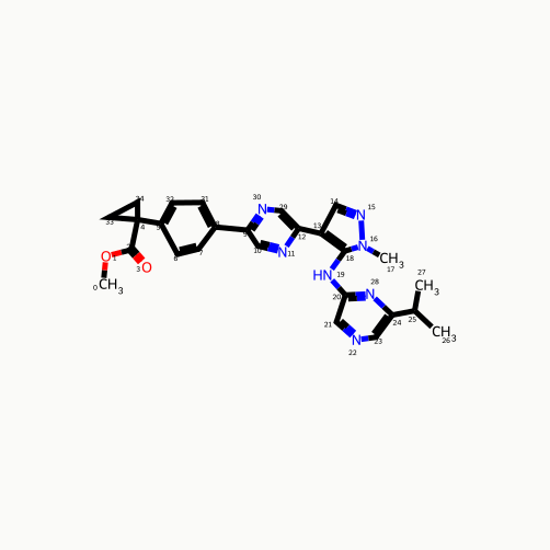 COC(=O)C1(c2ccc(-c3cnc(-c4cnn(C)c4Nc4cncc(C(C)C)n4)cn3)cc2)CC1